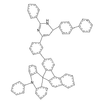 C1=C(c2cccc(-c3ccc4c(c3)C3(c5ccccc5N(c5ccccc5)c5ccccc53)c3ccc5ccccc5c3-4)c2)N=C(c2ccccc2)NC1c1ccc(-c2ccccc2)cc1